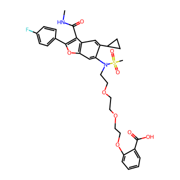 CNC(=O)c1c(-c2ccc(F)cc2)oc2cc(N(CCOCCOCCOc3ccccc3C(=O)O)S(C)(=O)=O)c(C3CC3)cc12